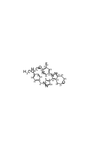 COc1ccc(Cn2cc(-c3c4c(nn3-c3cnc(OC)c(F)c3)CCOCC4)cn2)cc1